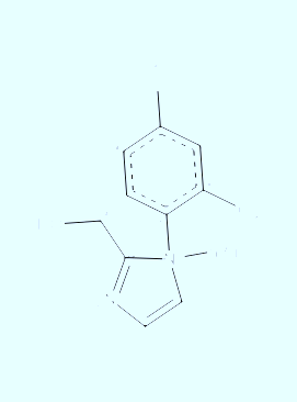 CCCC[N+]1(c2ccc(Cl)cc2Cl)C=CN=C1CO